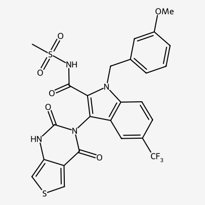 COc1cccc(Cn2c(C(=O)NS(C)(=O)=O)c(-n3c(=O)[nH]c4cscc4c3=O)c3cc(C(F)(F)F)ccc32)c1